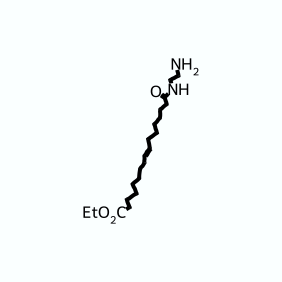 CCOC(=O)CCCCCCC/C=C/CCCCCCC(=O)NCCN